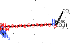 CCCCCCCCCCCC(CCCCCCCCCCC(=O)O)(C(=O)O)C(=O)NCCOCCOCCOCCOCCOCCOCCOCCOCCOCCOCCOCCON1C(O)C(n2cnc3c(N)ncnc32)O[C@H](CC(C)C)C1O